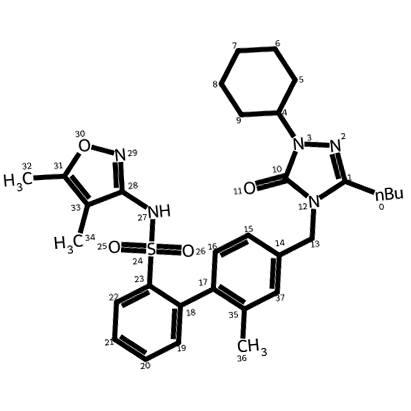 CCCCc1nn(C2CCCCC2)c(=O)n1Cc1ccc(-c2ccccc2S(=O)(=O)Nc2noc(C)c2C)c(C)c1